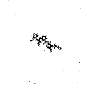 COC1CN(c2cc(NC(=O)N3CCCc4cc(CN5CCOCC5=C=O)c(C=O)nc43)ncc2C#N)C1